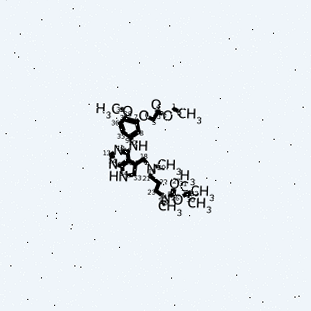 CCOC(=O)COc1cc(Nc2ncnc3c2C(CN(C)CCCN(C)C(=O)OC(C)(C)C)CN3)ccc1OC